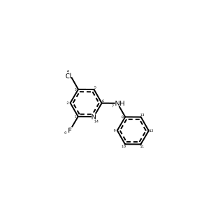 Fc1cc(Cl)cc(Nc2ccccc2)n1